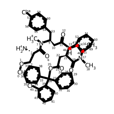 COC[C@H](N)C(=O)N(C)[C@H](CC(=O)NC[C@H](C)N(C)C(=O)[C@@H](CC(=O)OC(c1ccccc1)(c1ccccc1)c1ccccc1Cl)Cc1ccccc1)Cc1ccc(Cl)cc1